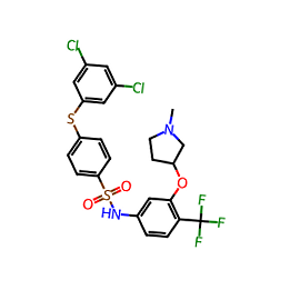 CN1CCC(Oc2cc(NS(=O)(=O)c3ccc(Sc4cc(Cl)cc(Cl)c4)cc3)ccc2C(F)(F)F)C1